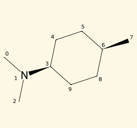 CN(C)[C@H]1CC[C@@H](C)CC1